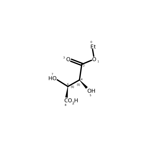 CCOC(=O)[C@@H](O)[C@H](O)C(=O)O